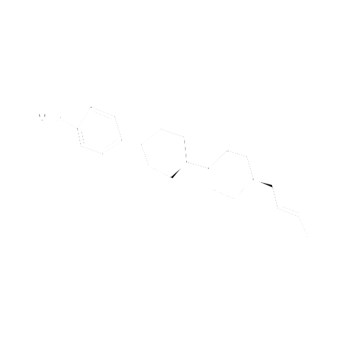 COc1ccc([C@H]2CC[C@H]([C@H]3CC[C@H](C/C=C/F)CC3)CC2)cc1